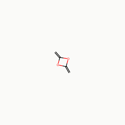 C=c1oc(=C)o1